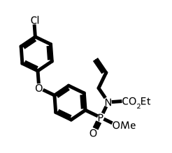 C=CCN(C(=O)OCC)P(=O)(OC)c1ccc(Oc2ccc(Cl)cc2)cc1